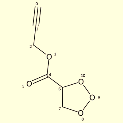 C#CCOC(=O)C1COOO1